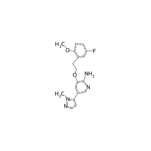 COc1ccc(F)cc1CCOc1cc(-c2ccnn2C)cnc1N